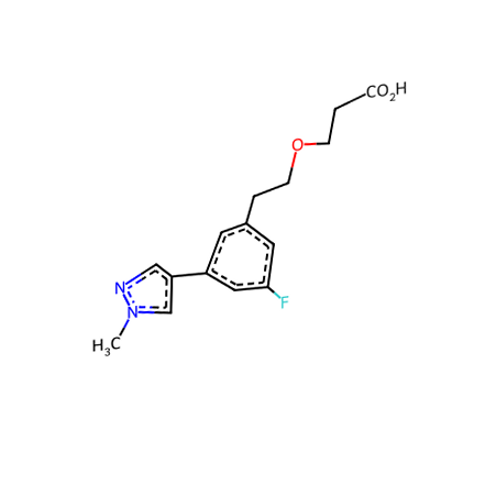 Cn1cc(-c2cc(F)cc(CCOCCC(=O)O)c2)cn1